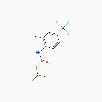 Cc1cc(C(F)(F)F)ccc1NC(=O)OC(C)C